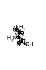 Cc1noc(C)c1Cn1nc(-c2nc(N)cc(Nc3ccncc3C(=O)NCCO)n2)c2ccccc21